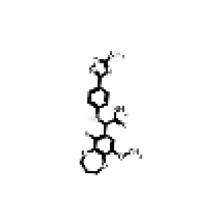 COc1cc(C(Nc2ccc(-c3noc(C)n3)cc2)C(N)=S)c(F)c2c1OCCCO2